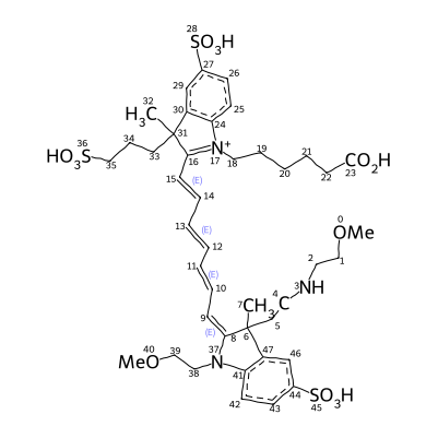 COCCNCCC1(C)\C(=C/C=C/C=C/C=C/C2=[N+](CCCCCC(=O)O)c3ccc(S(=O)(=O)O)cc3C2(C)CCCS(=O)(=O)O)N(CCOC)c2ccc(S(=O)(=O)O)cc21